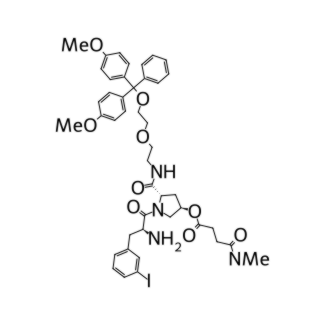 CNC(=O)CCC(=O)O[C@@H]1C[C@@H](C(=O)NCCOCCOC(c2ccccc2)(c2ccc(OC)cc2)c2ccc(OC)cc2)N(C(=O)[C@@H](N)Cc2cccc(I)c2)C1